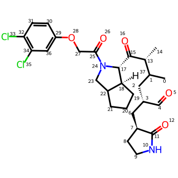 CC(C[C@H](C=O)C[C@@H]1CCNC1=O)[C@@H](C)C(=O)[C@@H]1[C@H]2CCCC2CN1C(=O)COc1ccc(Cl)c(Cl)c1